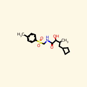 Cc1ccc(S(=O)(=O)CNC(=O)C(O)C(C)CC2CCC2)cc1